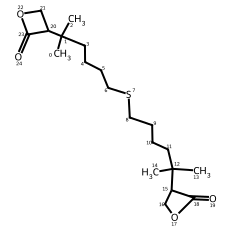 CC(C)(CCCCSCCCCC(C)(C)C1COC1=O)C1COC1=O